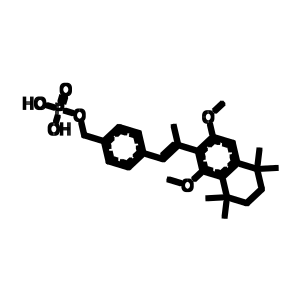 COc1cc2c(c(OC)c1C(C)=Cc1ccc(COP(=O)(O)O)cc1)C(C)(C)CCC2(C)C